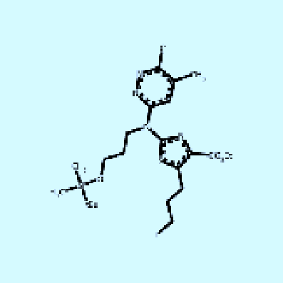 CCOC(=O)c1nc(N(CCCO[Si](C)(C)C(C)(C)C)c2cc(C)c(Cl)nn2)sc1CCCI